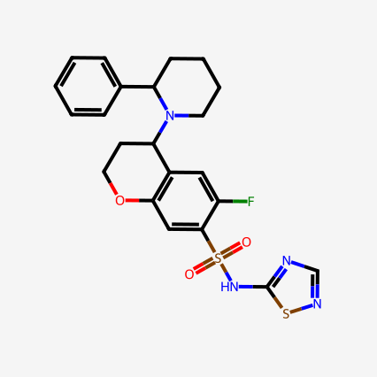 O=S(=O)(Nc1ncns1)c1cc2c(cc1F)C(N1CCCCC1c1ccccc1)CCO2